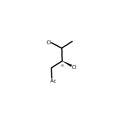 CC(=O)C[C@H](Cl)C(C)Cl